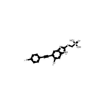 O=P(O)(O)CSc1nc2cc(C#Cc3ccc(F)cc3)c(Cl)cc2[nH]1